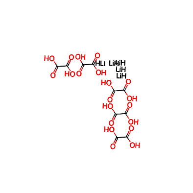 O=C(O)C(=O)O.O=C(O)C(=O)O.O=C(O)C(=O)O.O=C(O)C(=O)O.O=C(O)C(=O)O.[LiH].[LiH].[LiH].[LiH].[LiH]